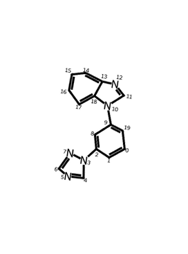 c1cc(-n2cncn2)cc(-n2cnc3ccccc32)c1